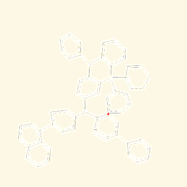 c1c(-c2ccccc2)ccc(N(c2ccc(-c3cccc4ccccc34)cc2)c2ccc3c(c2)S(C2=CCCC=C2)(c2ccccc2)c2ccccc2N3c2ccccc2)c#1